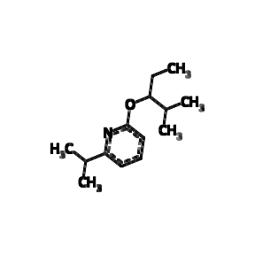 CCC(Oc1cccc(C(C)C)n1)C(C)C